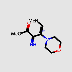 CN/C=C(\C(=N)C(=O)OC)N1CCOCC1